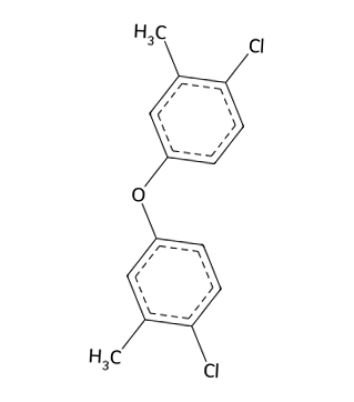 Cc1cc(Oc2ccc(Cl)c(C)c2)ccc1Cl